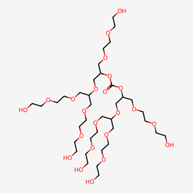 O=C(OC(COCCOCCO)COC(COCCOCCO)COCCOCCO)OC(COCCOCCO)COC(COCCOCCO)COCCOCCO